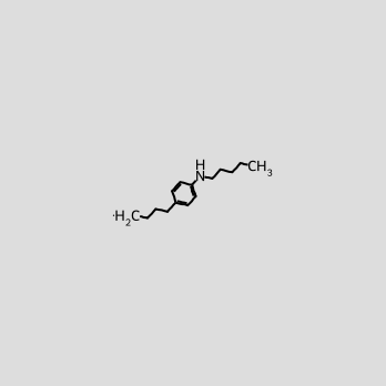 [CH2]CCCc1ccc(NCCCCC)cc1